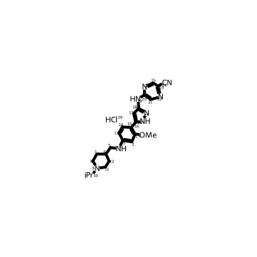 COc1cc(NCC2CCN(C(C)C)CC2)ccc1-c1cc(Nc2cnc(C#N)cn2)n[nH]1.Cl